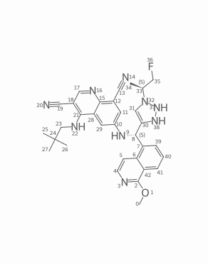 COc1nccc2c([C@H](Nc3cc(C#N)c4ncc(C#N)c(NCC(C)(C)C)c4c3)C3=CN([C@@H](C)CF)NN3)cccc12